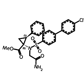 COC(=O)[C@@]1(N(CC(N)=O)S(=O)(=O)c2ccc(-c3ccc(Cl)cc3)cc2)C[C@H]1c1ccccc1